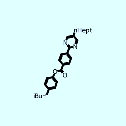 CCCCCCCc1cnc(-c2ccc(C(=O)Oc3ccc(C[C@@H](C)CC)cc3)cc2)nc1